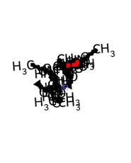 C=Cc1cc(C(=O)Nc2ccc(C(=N)NC(=O)OCCCCCC)cc2)c(-c2ccc(C(=O)NCC3CC3/C=C/c3cc(C(=O)Nc4ccc(C(=N)NC(=O)OCCCCCC)cc4)c(-c4ccc(C(=O)NCC5CC5)nc4C(=O)OC(C)OC(=O)C(C)C)cc3OC)nc2C(=O)OCC2(C)OC(=O)OC2C)cc1OC